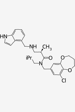 CC(C)CN(Cc1cc(Cl)c2c(c1)OCCCO2)C(=O)[C@H](C)CNCc1cccc2[nH]ccc12